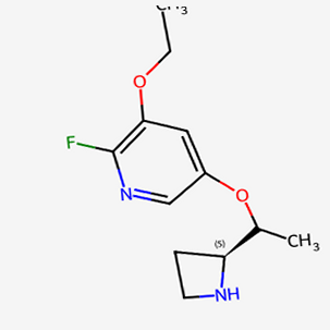 CCOc1cc(OC(C)[C@@H]2CCN2)cnc1F